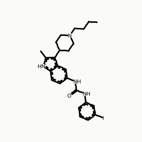 CCCCN1CCC(c2c(C)[nH]c3ccc(NC(=O)Nc4cccc(I)c4)cc23)CC1